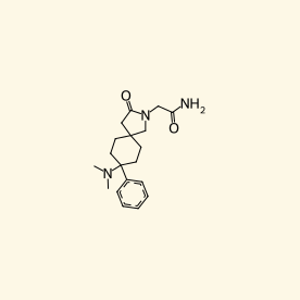 CN(C)C1(c2ccccc2)CCC2(CC1)CC(=O)N(CC(N)=O)C2